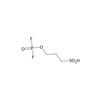 O=P(F)(F)OCCCS(=O)(=O)O